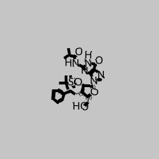 CC(C)C(=O)Nc1nc2c(ncn2[C@@H]2O[C@H](CO)[C@H](CCc3ccccc3)C2O[Si](C)(C)C(C)(C)C)c(=O)[nH]1